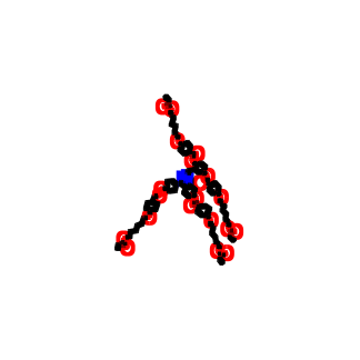 C=CC(=O)OCCCCCCOc1ccc(COOc2ccc(/C(=N/N=C/c3cc(OC(=O)c4ccc(OCCCCCCOC(=O)C=C)cc4)ccc3OC(=O)c3ccc(OCCCCCCOC(=O)C=C)cc3)c3ccc(OC(=O)c4ccc(OCCCCCCOC(=O)C=C)cc4)cc3)cc2)cc1